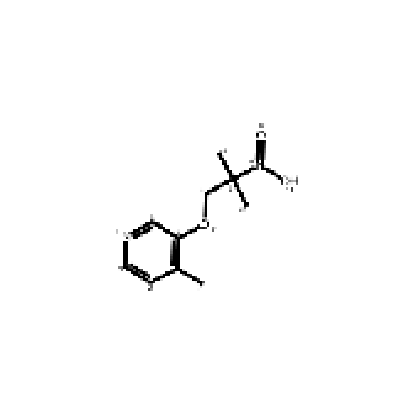 Cc1ccncc1OCC(C)(C)[N+](=O)O